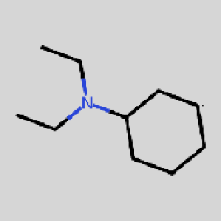 CCN(CC)C1C[CH]CCC1